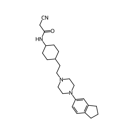 N#CCC(=O)NC1CCC(CCN2CCN(c3ccc4c(c3)CCC4)CC2)CC1